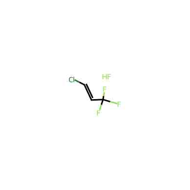 F.FC(F)(F)C=CCl